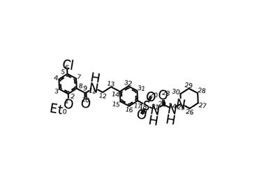 CCOc1ccc(Cl)cc1C(=O)NCCc1ccc(S(=O)(=O)NC(=O)NN2CCCCC2)cc1